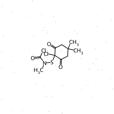 CN(SC1(Cl)C(=O)CC(C)(C)CC1=O)C(=O)Cl